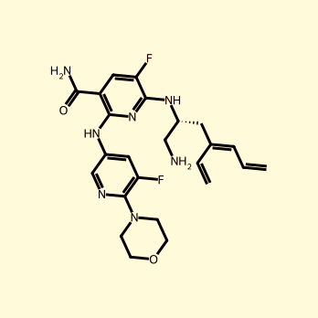 C=C/C=C(\C=C)C[C@H](CN)Nc1nc(Nc2cnc(N3CCOCC3)c(F)c2)c(C(N)=O)cc1F